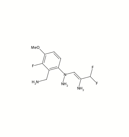 COc1ccc(N(N)/C=C(\N)C(F)F)c(CN)c1F